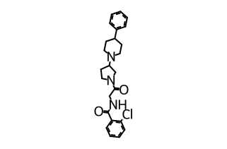 O=C(NCC(=O)N1CCC(N2CCC(c3ccccc3)CC2)C1)c1ccccc1Cl